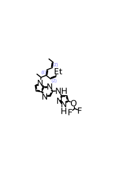 C\C=C/C=C(\C=C/CC)C(C)n1ccc2ncc(Nc3cc(OC(F)F)[nH]n3)nc21